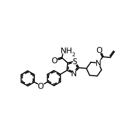 C=CC(=O)N1CCCC(c2nc(-c3ccc(Oc4ccccc4)cc3)c(C(N)=O)s2)C1